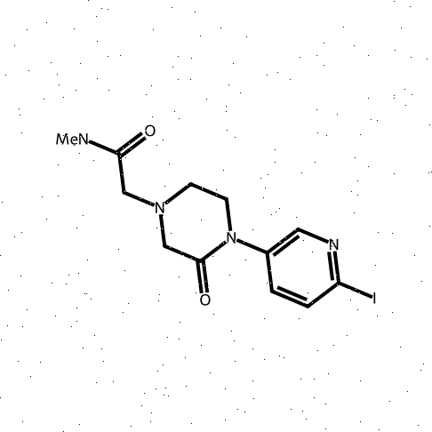 CNC(=O)CN1CCN(c2ccc(I)nc2)C(=O)C1